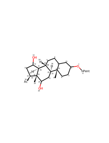 CCCCCOC1CC[C@@]2(C)C(CC[C@H]3[C@@H]4C(O)C[C@H](C(C)=O)[C@@]4(C)C(O)C[C@@H]32)C1